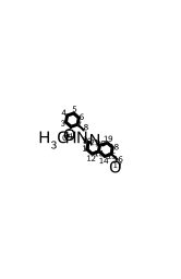 COc1ccccc1CNc1ccc2cc(C=O)ccc2n1